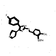 CSc1cc(CSc2nc(-c3ccncc3)c(-c3ccc(F)cc3)[nH]2)ccc1O